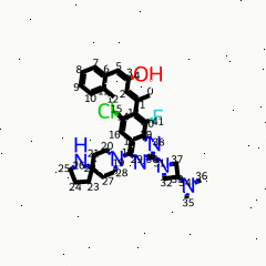 C/C(=C\C(O)=C/c1ccccc1C)c1c(Cl)cc2c(N3CCC4(CCCN4)CC3)nc(N3CC(N(C)C)C3)nc2c1F